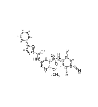 COc1ncc(NC(=O)c2ncc(-c3ccccc3)o2)cc1S(=O)(=O)Nc1cc(F)c(C#N)cc1F